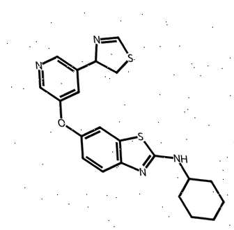 C1=NC(c2cncc(Oc3ccc4nc(NC5CCCCC5)sc4c3)c2)CS1